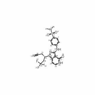 CN(C)S(=O)(=O)c1ccc(Nc2nn([C@H](CC#N)[C@@H]3CC3(F)F)c3cc[nH]c(=O)c23)cc1